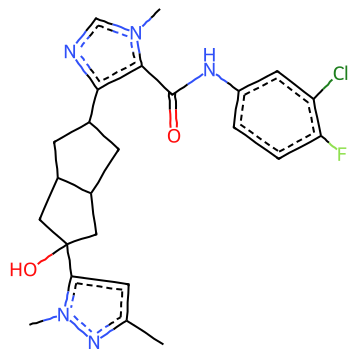 Cc1cc(C2(O)CC3CC(c4ncn(C)c4C(=O)Nc4ccc(F)c(Cl)c4)CC3C2)n(C)n1